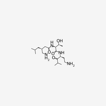 CC(C)C[C@H](CN)CC(=O)N[C@H](C(=O)N[C@@H](CCN)C(=O)C(C)C)[C@H](C)O